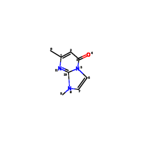 Cc1cc(=O)n2ccn(C)c2n1